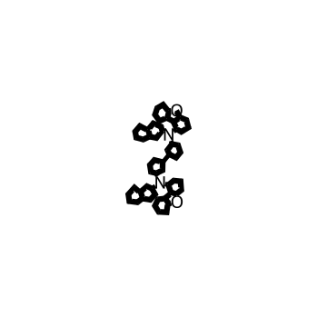 c1cc(-c2cccc(N(c3ccc4ccccc4c3)c3cccc4oc5ccccc5c34)c2)cc(N(c2ccc3ccccc3c2)c2cccc3oc4ccccc4c23)c1